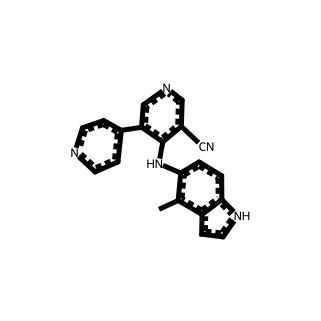 Cc1c(Nc2c(C#N)cncc2-c2ccncc2)ccc2[nH]ccc12